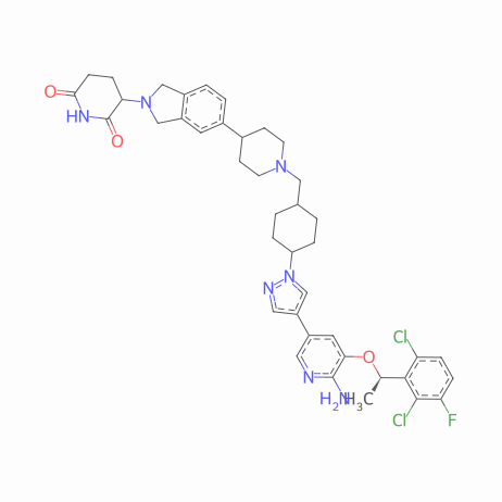 C[C@@H](Oc1cc(-c2cnn(C3CCC(CN4CCC(c5ccc6c(c5)CN(C5CCC(=O)NC5=O)C6)CC4)CC3)c2)cnc1N)c1c(Cl)ccc(F)c1Cl